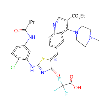 CCOC(=O)c1cnc2ccc(/C=C3\SC(Nc4cc(NC(=O)C(C)C)ccc4Cl)=NC3=O)cc2c1N1CCN(C)CC1.O=C(O)C(F)(F)F